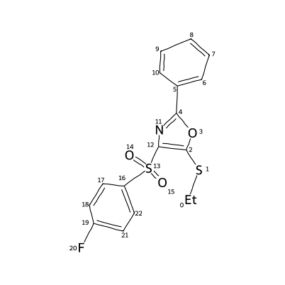 CCSc1oc(-c2ccccc2)nc1S(=O)(=O)c1ccc(F)cc1